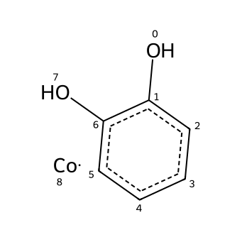 Oc1ccccc1O.[Co]